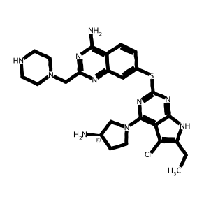 CCc1[nH]c2nc(Sc3ccc4c(N)nc(CN5CCNCC5)nc4c3)nc(N3CC[C@@H](N)C3)c2c1Cl